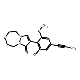 CC#Cc1cc(Cl)c(-c2[c]n3n(c2=O)CCOCC3)c(OC)c1